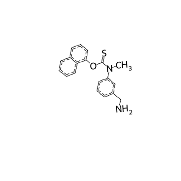 CN(C(=S)Oc1cccc2ccccc12)c1cccc(CN)c1